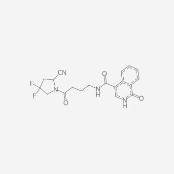 N#CC1CC(F)(F)CN1C(=O)CCCNC(=O)c1c[nH]c(=O)c2ccccc12